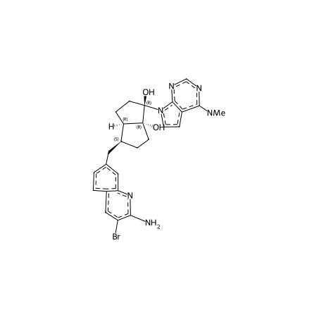 CNc1ncnc2c1ccn2[C@@]1(O)CC[C@@H]2[C@H](Cc3ccc4cc(Br)c(N)nc4c3)CC[C@@]21O